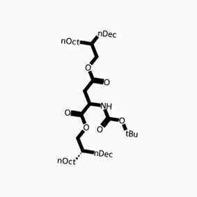 CCCCCCCCCCC(CCCCCCCC)COC(=O)CC(NC(=O)OC(C)(C)C)C(=O)OC[C@@H](CCCCCCCC)CCCCCCCCCC